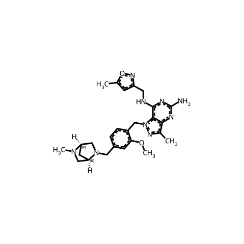 COc1cc(CN2C[C@H]3C[C@@H]2CN3C)ccc1Cn1nc(C)c2nc(N)nc(NCc3cc(C)on3)c21